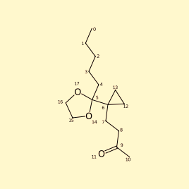 CCCCCC1(C2(CCC(C)=O)CC2)OCCO1